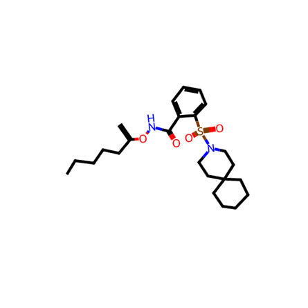 C=C(CCCCC)ONC(=O)c1ccccc1S(=O)(=O)N1CCC2(CCCCC2)CC1